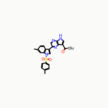 Cc1ccc(S(=O)(=O)n2cc(-c3cnc4[nH]cc(C(=O)C(C)(C)C)c4n3)c3ccc(C)cc32)cc1